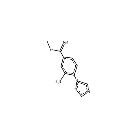 CSC(=N)c1ccc(-n2cncn2)c(N)c1